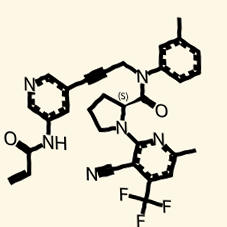 C=CC(=O)Nc1cncc(C#CCN(C(=O)[C@@H]2CCCN2c2nc(C)cc(C(F)(F)F)c2C#N)c2cccc(C)c2)c1